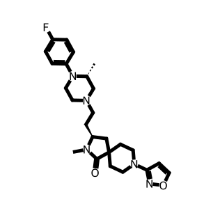 C[C@@H]1CN(CC[C@H]2CC3(CCN(c4ccon4)CC3)C(=O)N2C)CCN1c1ccc(F)cc1